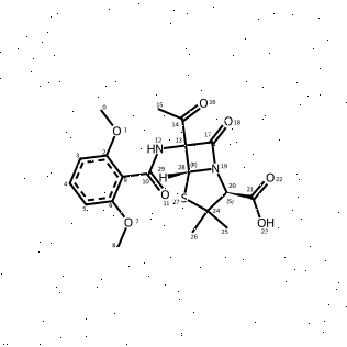 COc1cccc(OC)c1C(=O)NC1(C(C)=O)C(=O)N2[C@@H](C(=O)O)C(C)(C)S[C@@H]21